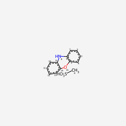 CS(=O)(=O)O.c1ccc2c(c1)Nc1ccccc1O2